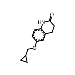 O=C1CCc2cc(OCC3CC3)ccc2N1